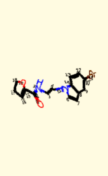 O=C(NCCn1ccc2cc(Br)ccc21)c1ccco1